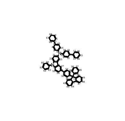 C1=CC(c2ccc(N(c3ccc(-c4ccccc4)cc3)c3ccc4c(c3)c3cc(-c5ccc(C6(c7ccccc7)c7ccccc7-c7ccccc76)cc5)ccc3n4-c3ccccc3)cc2)=CCC1